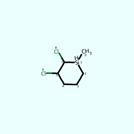 C[SiH]1CCCC(Cl)C1Cl